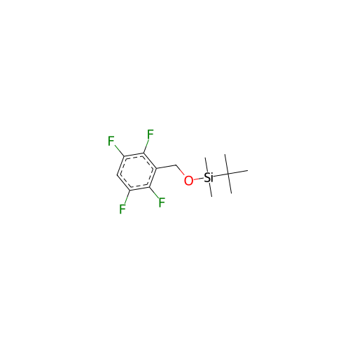 CC(C)(C)[Si](C)(C)OCc1c(F)c(F)cc(F)c1F